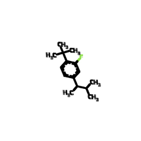 CC(C)C(C)c1ccc(C(C)(C)C)c(F)c1